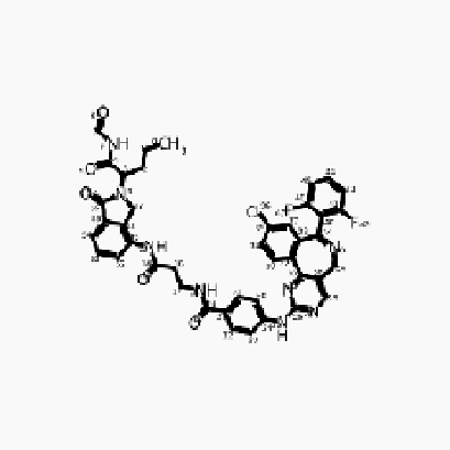 CCCC(C(=O)NC=O)N1Cc2c(NC(=O)CCNC(=O)c3ccc(Nc4ncc5c(n4)-c4ccc(Cl)cc4C(c4c(F)cccc4F)=NC5)cc3)cccc2C1=O